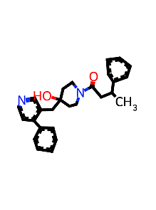 CC(CC(=O)N1CCC(O)(Cc2cnccc2-c2ccccc2)CC1)c1ccccc1